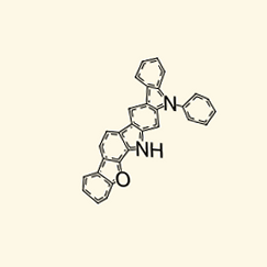 c1ccc(-n2c3ccccc3c3cc4c(cc32)[nH]c2c4ccc3c4ccccc4oc32)cc1